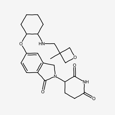 CC1(CNC2CCCCC2Oc2ccc3c(c2)CN(C2CCC(=O)NC2=O)C3=O)COC1